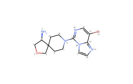 N[C@@H]1COCC12CCN(c1ncc(Br)c3nccn13)CC2